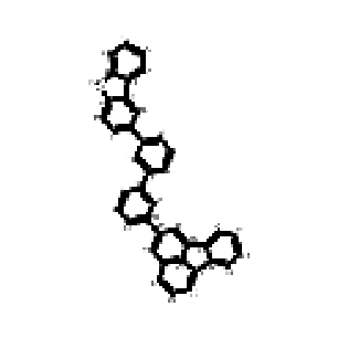 c1cc(-c2cccc(-c3ccc4sc5ccccc5c4c3)c2)cc(-c2cc3c4c(cccc4c2)-c2ccccc2-3)c1